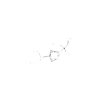 CC(C)(C)N(C(=O)O)c1cnn(C(C)(C)CO)c1